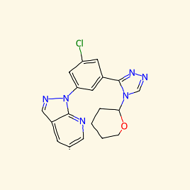 Clc1cc(-c2nncn2C2CCCCO2)cc(-n2ncc3c[c]cnc32)c1